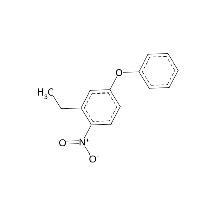 CCc1cc(Oc2ccccc2)ccc1[N+](=O)[O-]